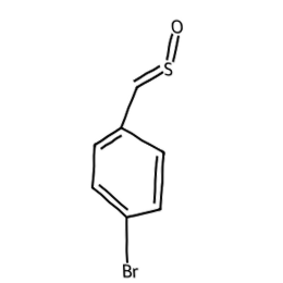 O=S=Cc1ccc(Br)cc1